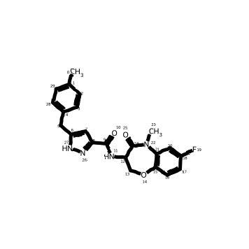 Cc1ccc(Cc2cc(C(=O)NC3COc4ccc(F)cc4N(C)C3=O)n[nH]2)cc1